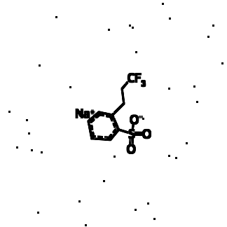 O=S(=O)([O-])c1ccccc1CCC(F)(F)F.[Na+]